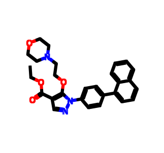 CCOC(=O)c1cnn(-c2ccc(-c3cccc4ccccc34)cc2)c1OCCN1CCOCC1